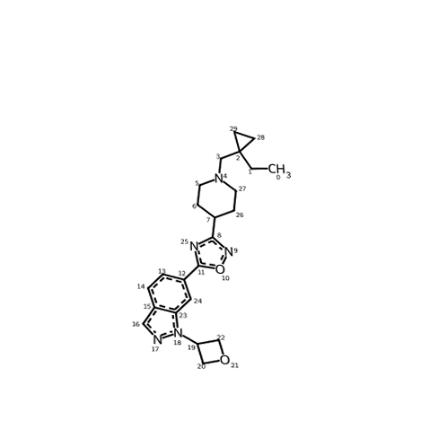 CCC1(CN2CCC(c3noc(-c4ccc5cnn(C6COC6)c5c4)n3)CC2)CC1